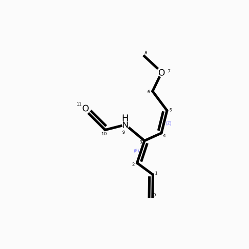 C=C/C=C(\C=C/COC)NC=O